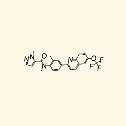 Cc1cc(-c2ccc3cc(OC(F)(F)F)ccc3n2)ccc1N(C)C(=O)c1ccnn1C